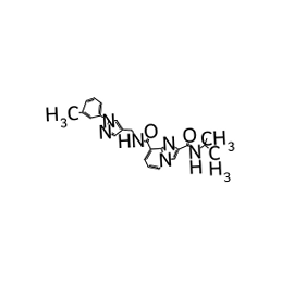 Cc1cccc(-n2cc(CNC(=O)c3cccn4cc(C(=O)NC(C)C)nc34)cn2)c1